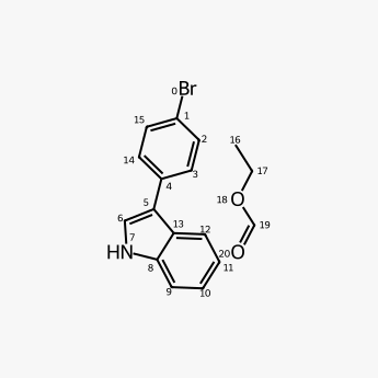 Brc1ccc(-c2c[nH]c3ccccc23)cc1.CCOC=O